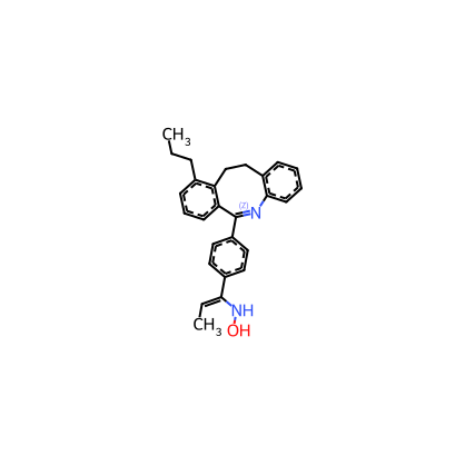 CC=C(NO)c1ccc(/C2=N/c3ccccc3CCc3c(CCC)cccc32)cc1